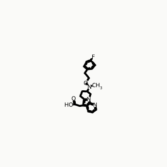 CN(OCCc1ccc(F)cc1)C1CCc2c(CC(=O)O)c3cccnc3n2C1